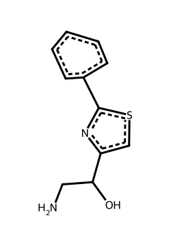 NCC(O)c1csc(-c2ccccc2)n1